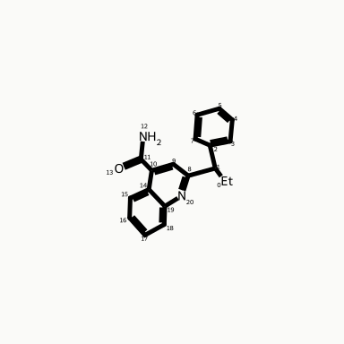 CCC(c1ccccc1)c1cc(C(N)=O)c2ccccc2n1